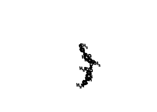 COc1ccc(C2=CN3C(=O)c4cc(OC)c(OCCCOc5cc6c(cc5OC)CN5C=C(c7ccc(N)cc7)C[C@H]5C=N6)cc4N=C[C@@H]3C2)cc1